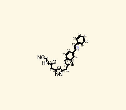 N#CCNC(=O)Cc1nnc(Cc2nc3cc(/C=C/c4ccccc4)ccc3s2)o1